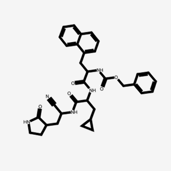 N#CC(CC1CCNC1=O)NC(=O)C(CC1CC1)NC(=O)C(Cc1cccc2ccccc12)NC(=O)OCc1ccccc1